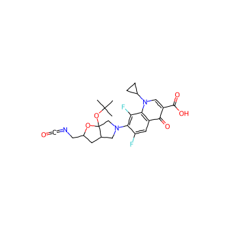 CC(C)(C)OC12CN(c3c(F)cc4c(=O)c(C(=O)O)cn(C5CC5)c4c3F)CC1CC(CN=C=O)O2